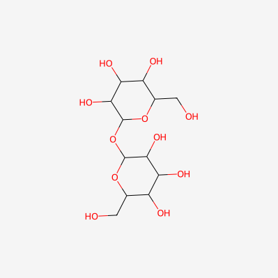 OCC1OC(OC2OC(CO)C(O)C(O)C2O)C(O)C(O)C1O